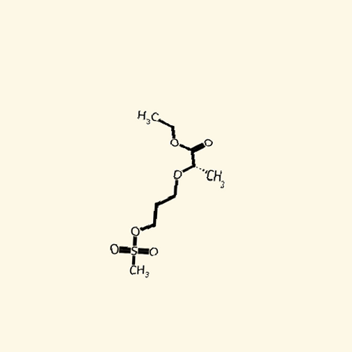 CCOC(=O)[C@H](C)OCCCOS(C)(=O)=O